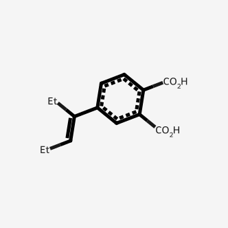 CCC=C(CC)c1ccc(C(=O)O)c(C(=O)O)c1